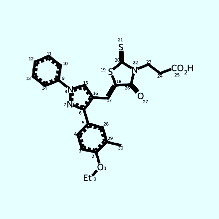 CCOc1ccc(-c2nn(-c3ccccc3)cc2/C=C2\SC(=S)N(CCC(=O)O)C2=O)cc1C